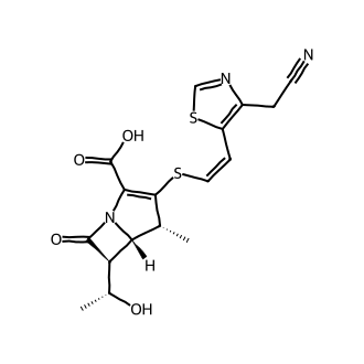 C[C@@H](O)[C@H]1C(=O)N2C(C(=O)O)=C(S/C=C\c3scnc3CC#N)[C@H](C)[C@H]12